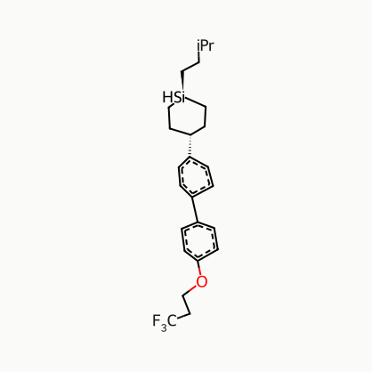 CC(C)CC[Si@H]1CC[C@H](c2ccc(-c3ccc(OCCC(F)(F)F)cc3)cc2)CC1